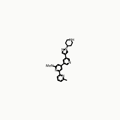 CNc1cc(-c2cncc(-c3cnn(C4CCNCC4)c3)c2)cc(-c2cccc(C)n2)n1